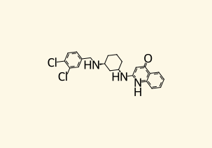 O=c1cc(N[C@@H]2CCC[C@H](NCc3ccc(Cl)c(Cl)c3)C2)[nH]c2ccccc12